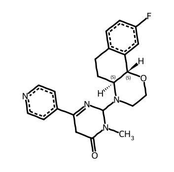 CN1C(=O)CC(c2ccncc2)=NC1N1CCO[C@H]2c3cc(F)ccc3CC[C@@H]21